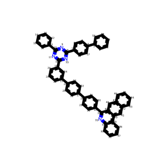 c1ccc(-c2ccc(-c3nc(-c4ccccc4)nc(-c4cccc(-c5ccc(-c6ccc(-c7nc8ccccc8c8cc9ccccc9cc78)cc6)cc5)c4)n3)cc2)cc1